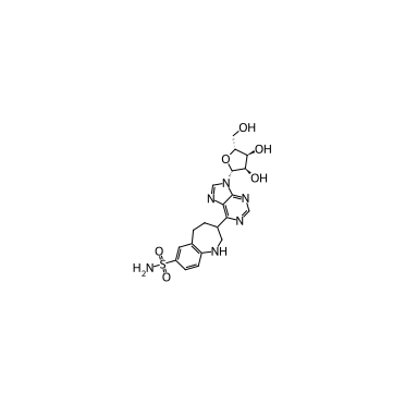 NS(=O)(=O)c1ccc2c(c1)CCC(c1ncnc3c1ncn3[C@@H]1O[C@H](CO)[C@@H](O)[C@H]1O)CN2